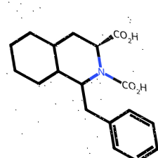 O=C(O)[C@@H]1CC2CCCCC2C(Cc2ccccc2)N1C(=O)O